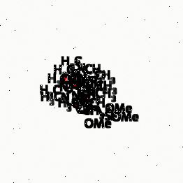 CO[Si](CCc1ccc(CN(C)P(=N[PH](N=P(C)(C)C)(N=P(C)(N(C)C)N(C)C)N=P(C)(N(C)C)N(C)C)(N(C)C)N(C)C)cc1)(OC)OC